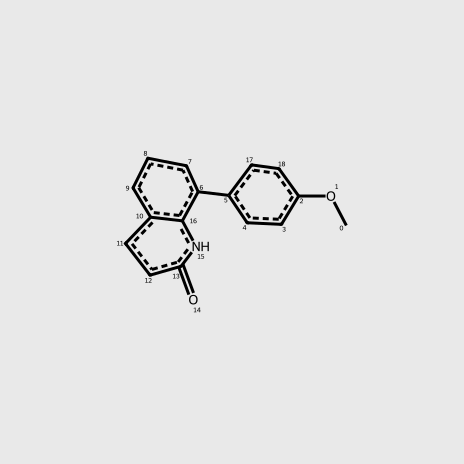 COc1ccc(-c2cccc3ccc(=O)[nH]c23)cc1